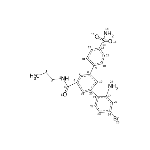 CCCNC(=O)c1cc(-c2ccc(S(N)(=O)=O)cc2)cc(-c2ccc(Br)cc2N)c1